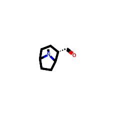 CN1C2CCC1[C@@H](C=O)CC2